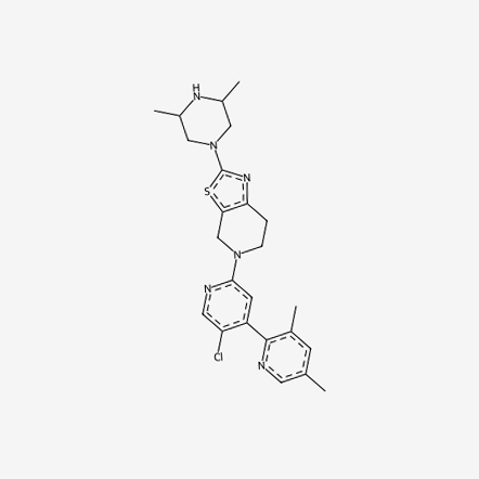 Cc1cnc(-c2cc(N3CCc4nc(N5CC(C)NC(C)C5)sc4C3)ncc2Cl)c(C)c1